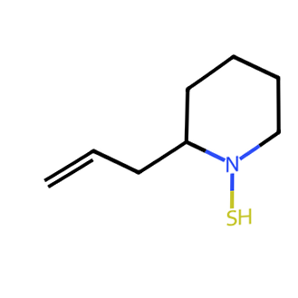 C=CCC1CCCCN1S